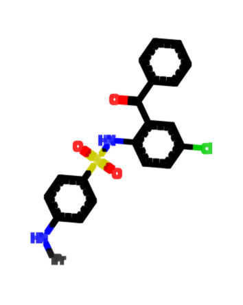 CC(C)Nc1ccc(S(=O)(=O)Nc2ccc(Cl)cc2C(=O)c2ccccc2)cc1